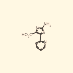 Nc1nc(C(=O)O)c(-c2ccccn2)s1